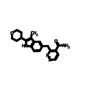 Cc1c(C2CCOCC2)[nH]c2ccc(Cc3nnccc3C(N)=O)cc12